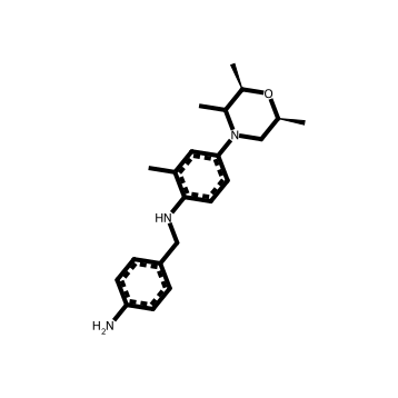 Cc1cc(N2C[C@H](C)O[C@H](C)C2C)ccc1NCc1ccc(N)cc1